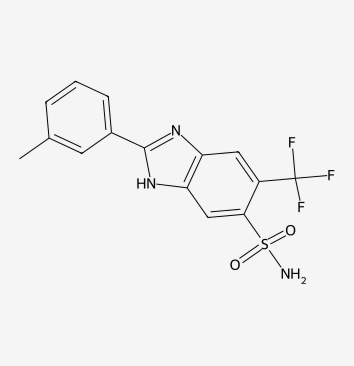 Cc1cccc(-c2nc3cc(C(F)(F)F)c(S(N)(=O)=O)cc3[nH]2)c1